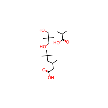 CC(C)(CO)CO.CC(C)C(=O)O.CC(CC(=O)O)CC(C)(C)C